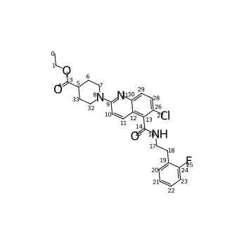 CCOC(=O)C1CCN(c2ccc3c(C(=O)NCCc4ccccc4F)c(Cl)ccc3n2)CC1